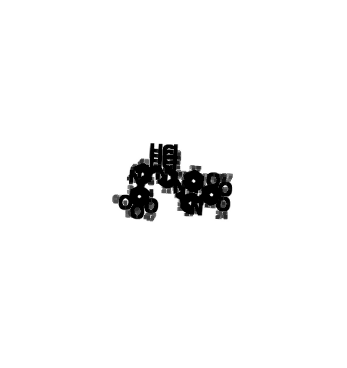 COc1cc(-c2cc(CN3CCC(N(Cc4ccnc(-c5cc(OC)c(OC)c(OC)c5)c4)c4ccccc4)CC3)ccn2)cc(OC)c1OC.Cl.Cl.Cl